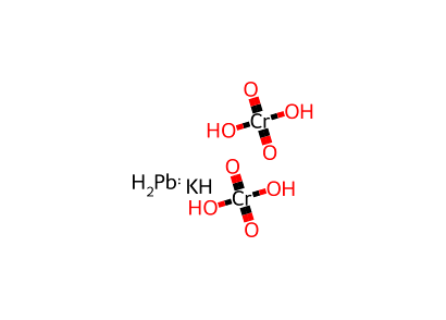 [KH].[O]=[Cr](=[O])([OH])[OH].[O]=[Cr](=[O])([OH])[OH].[PbH2]